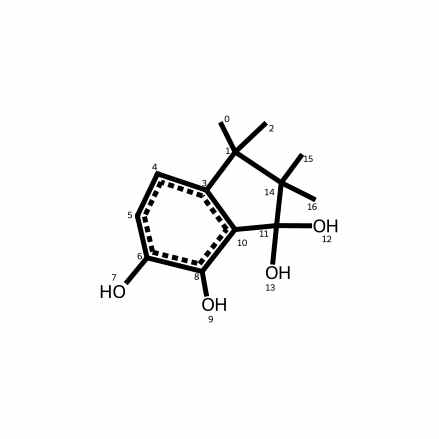 CC1(C)c2ccc(O)c(O)c2C(O)(O)C1(C)C